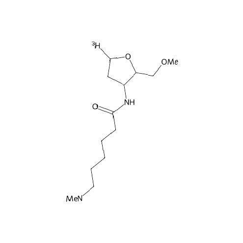 [3H]C1CC(NC(=O)CCCCCNC)C(COC)O1